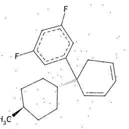 C[C@H]1CC[C@H](C2(c3cc(F)cc(F)c3)C=CC=CC2)CC1